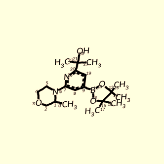 CC1COCCN1c1cc(B2OC(C)(C)C(C)(C)O2)cc(C(C)(C)O)n1